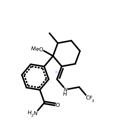 COC1(c2cccc(C(N)=O)c2)/C(=C/NCC(F)(F)F)CCCC1C